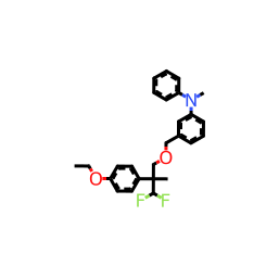 CCOc1ccc(C(C)(COCc2cccc(N(C)c3ccccc3)c2)C(F)F)cc1